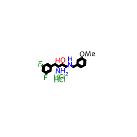 COc1cccc(CNC[C@@H](O)[C@@H](N)Cc2cc(F)cc(F)c2)c1.Cl.Cl